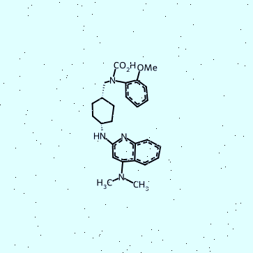 COc1ccccc1N(C[C@H]1CC[C@@H](Nc2cc(N(C)C)c3ccccc3n2)CC1)C(=O)O